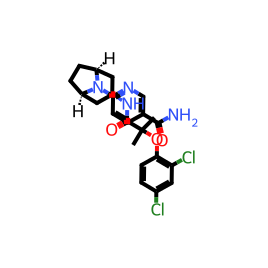 CC(C)(Oc1ccc(Cl)cc1Cl)C(=O)N[C@H]1C[C@H]2CC[C@@H](C1)N2c1ccc(C(N)=O)cn1